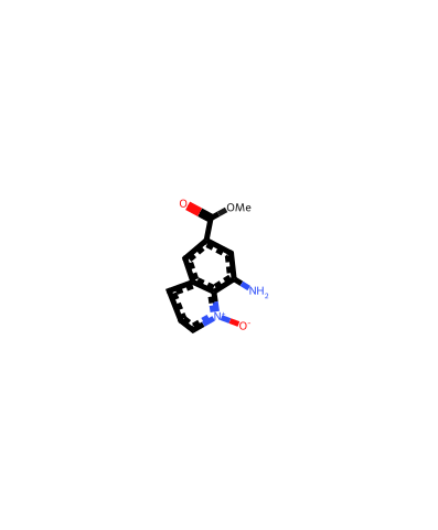 COC(=O)c1cc(N)c2c(ccc[n+]2[O-])c1